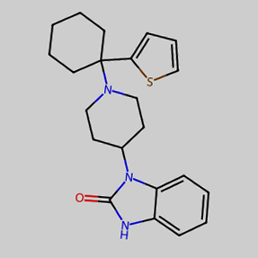 O=c1[nH]c2ccccc2n1C1CCN(C2(c3cccs3)CCCCC2)CC1